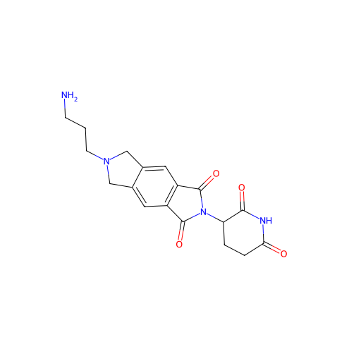 NCCCN1Cc2cc3c(cc2C1)C(=O)N(C1CCC(=O)NC1=O)C3=O